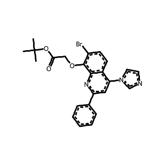 CC(C)(C)OC(=O)COc1c(Br)ccc2c(-n3ccnc3)cc(-c3ccccc3)nc12